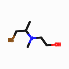 CC(CS)N(C)CCO